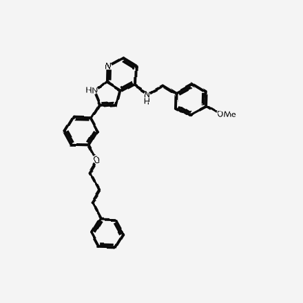 COc1ccc(CNc2ccnc3[nH]c(-c4cccc(OCCCc5ccccc5)c4)cc23)cc1